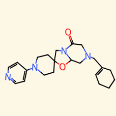 O=C1CN(CC2=CCCCC2)CC2OC3(CCN(c4ccncc4)CC3)CN12